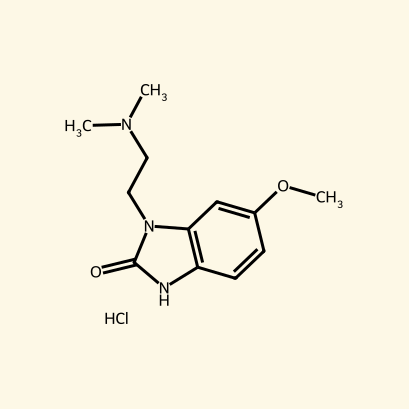 COc1ccc2[nH]c(=O)n(CCN(C)C)c2c1.Cl